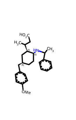 COc1ccc(C[C@@H]2CC[C@H](NC(C)c3ccccc3)[C@H](C(C)CC(=O)O)C2)cc1